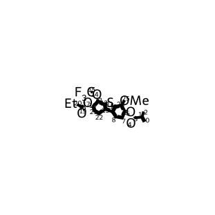 C=C(C)C(=O)Oc1ccc2c(sc3c(OC(F)(F)F)c(OC(=O)CC)ccc32)c1OC